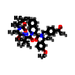 COc1cccc([C@@H](C)N(Cc2ccc(C(C)=O)cc2)C(=O)[C@@H]2Cc3ccccc3CN2C(=O)[C@@H](NC(=O)[C@H](C)N(C)C(=O)OC(C)(C)C)C(C)(C)C)c1